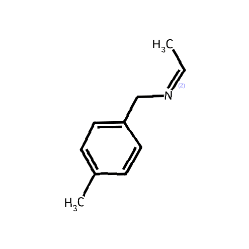 C/C=N\Cc1ccc(C)cc1